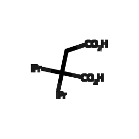 CC(C)C(CC(=O)O)(C(=O)O)C(C)C